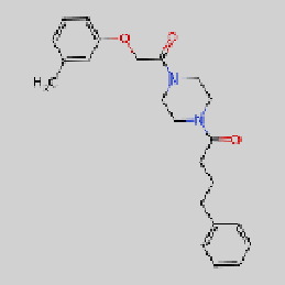 Cc1cccc(OCC(=O)N2CCN(C(=O)CCCc3ccccc3)CC2)c1